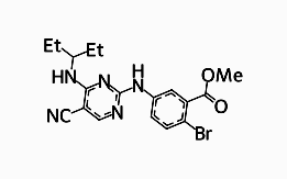 CCC(CC)Nc1nc(Nc2ccc(Br)c(C(=O)OC)c2)ncc1C#N